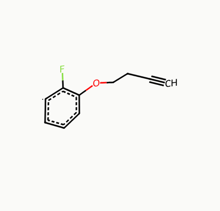 C#CCCOc1ccc[c]c1F